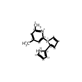 Cc1cc(C)nc(-n2cccc2-c2ccc[nH]2)c1